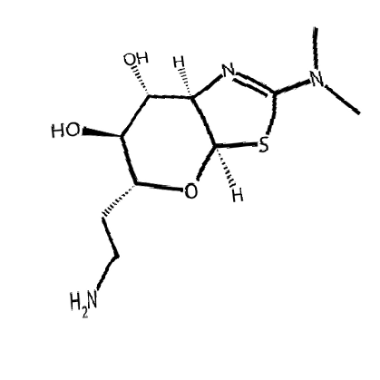 CN(C)C1=N[C@@H]2[C@@H](O)[C@H](O)[C@@H](CCN)O[C@@H]2S1